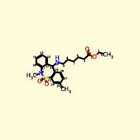 CCOC(=O)CCCCCNC1c2ccccc2N(C)S(=O)(=O)c2cc(C)ccc21